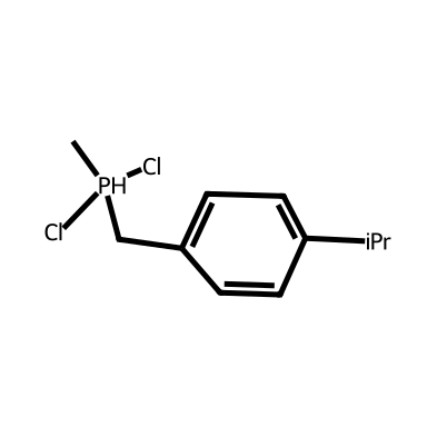 CC(C)c1ccc(C[PH](C)(Cl)Cl)cc1